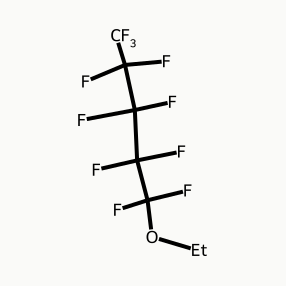 [CH2]COC(F)(F)C(F)(F)C(F)(F)C(F)(F)C(F)(F)F